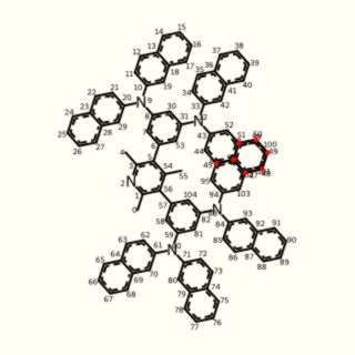 Cc1nc(C)c(-c2cc(N(c3ccc4ccccc4c3)c3ccc4ccccc4c3)cc(N(c3ccc4ccccc4c3)c3ccc4ccccc4c3)c2)c(C)c1-c1cc(N(c2ccc3ccccc3c2)c2ccc3ccccc3c2)cc(N(c2ccc3ccccc3c2)c2ccc3ccccc3c2)c1